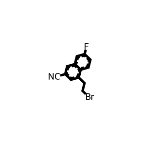 N#Cc1cc(CCBr)c2ccc(F)cc2c1